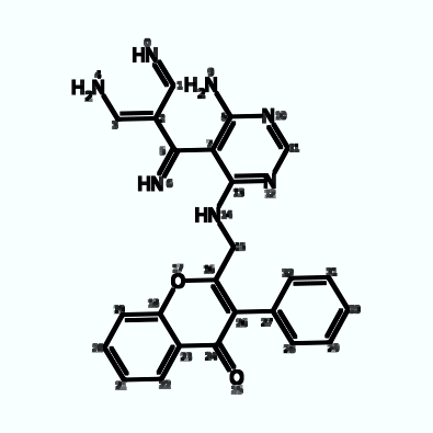 N=C/C(=C\N)C(=N)c1c(N)ncnc1NCc1oc2ccccc2c(=O)c1-c1ccccc1